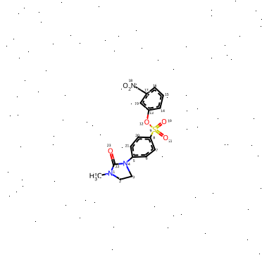 CN1CCN(c2ccc(S(=O)(=O)Oc3cccc([N+](=O)[O-])c3)cc2)C1=O